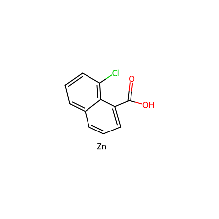 O=C(O)c1cccc2cccc(Cl)c12.[Zn]